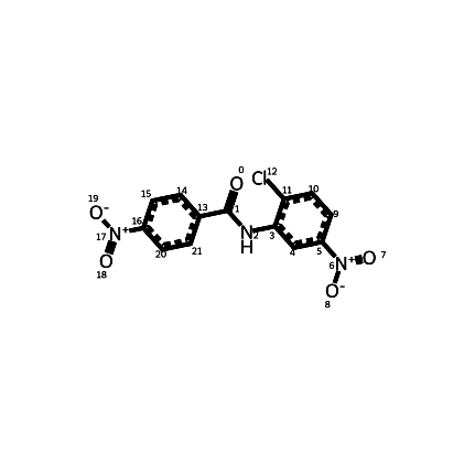 O=C(Nc1cc([N+](=O)[O-])ccc1Cl)c1ccc([N+](=O)[O-])cc1